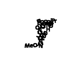 COC[C@H]1CN(c2cc(C)c3c4c(c(=O)oc3c2C)CN(C(=O)c2ccc(C(=O)NS(=O)(=O)N(C)C(C)C)c(OC3CCC3)c2F)CC4)CCN1C